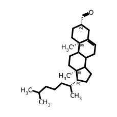 CC(C)CCCC(C)[C@H]1CCC2C3CC=C4C[C@@H](C=O)CC[C@]4(C)C3CC[C@@]21C